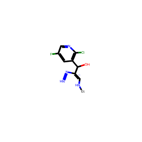 CCN/C=C(\N=N)C(O)c1cc(F)cnc1Cl